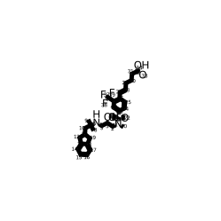 CN(C[C@H](O)CNC(C)(C)CC1Cc2ccccc2C1)S(=O)(=O)c1ccc(/C=C/CCCC(=O)O)c(C(F)(F)F)c1